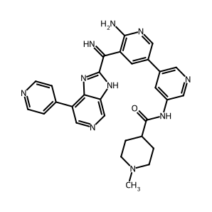 CN1CCC(C(=O)Nc2cncc(-c3cnc(N)c(C(=N)c4nc5c(-c6ccncc6)cncc5[nH]4)c3)c2)CC1